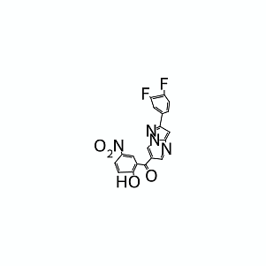 O=C(c1cnc2cc(-c3ccc(F)c(F)c3)nn2c1)c1cc([N+](=O)[O-])ccc1O